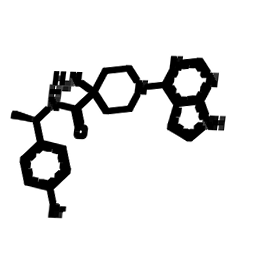 C[C@@H](NC(=O)C1(N)CCN(c2ncnc3[nH]ccc23)CC1)c1ccc(Br)cc1